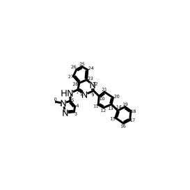 Cn1nccc1Nc1nc(-c2ccc(-c3ccccc3)cc2)nc2ccccc12